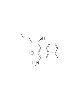 CCCCCC(S)c1c(O)c(N)cc2c(C)cccc12